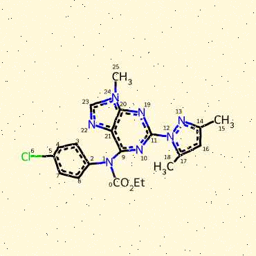 CCOC(=O)N(c1ccc(Cl)cc1)c1nc(-n2nc(C)cc2C)nc2c1ncn2C